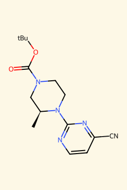 C[C@H]1CN(C(=O)OC(C)(C)C)CCN1c1nccc(C#N)n1